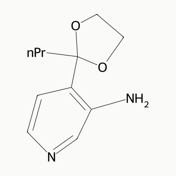 CCCC1(c2ccncc2N)OCCO1